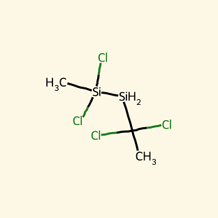 CC(Cl)(Cl)[SiH2][Si](C)(Cl)Cl